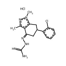 Cc1nn(C)c2c1C(=NNC(=N)N)CC(c1ccccc1Cl)C2.Cl